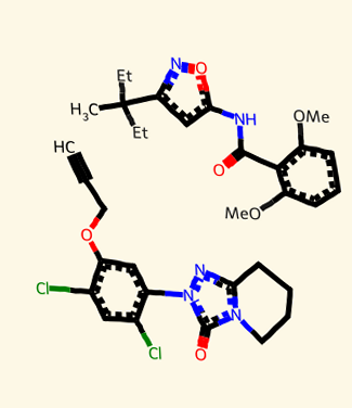 C#CCOc1cc(-n2nc3n(c2=O)CCCC3)c(Cl)cc1Cl.CCC(C)(CC)c1cc(NC(=O)c2c(OC)cccc2OC)on1